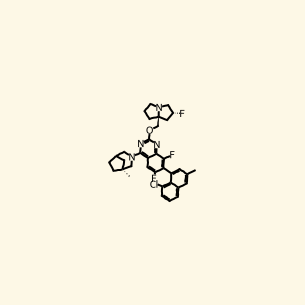 Cc1cc(-c2c(F)cc3c(N4CC5CC[C@@](C)(C5)C4)nc(OC[C@@]45CCCN4C[C@H](F)C5)nc3c2F)c2c(Cl)cccc2c1